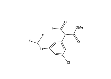 COC(=O)C(C(=O)I)c1cc(Cl)cc(OC(F)F)c1